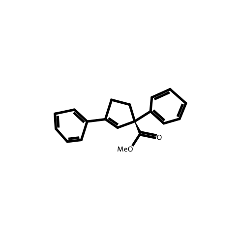 COC(=O)[C@@]1(c2ccccc2)C=C(c2ccccc2)CC1